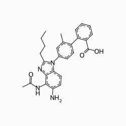 CCCCc1nc2c(NC(C)=O)c(N)ccc2n1-c1ccc(-c2ccccc2C(=O)O)c(C)c1